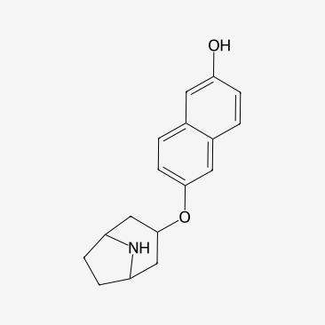 Oc1ccc2cc(OC3CC4CCC(C3)N4)ccc2c1